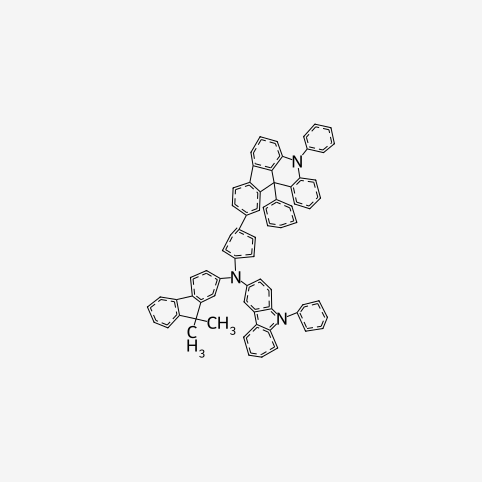 CC1(C)c2ccccc2-c2ccc(N(c3ccc(-c4ccc5c(c4)C4(c6ccccc6)c6ccccc6N(c6ccccc6)c6cccc-5c64)cc3)c3ccc4c(c3)c3ccccc3n4-c3ccccc3)cc21